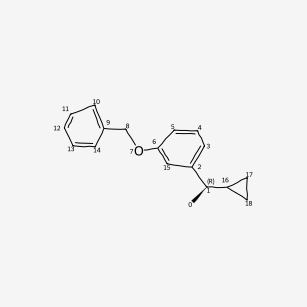 C[C@@H](c1cccc(OCc2ccccc2)c1)C1CC1